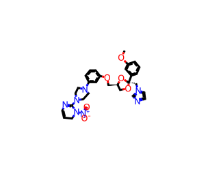 COc1cccc([C@@]2(Cn3ccnc3)OC[C@@H](COc3cccc(N4CCN(C5=NC=CCN5[N+](=O)[O-])CC4)c3)O2)c1